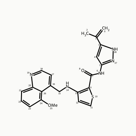 C=C(C)c1cc(NC(=O)c2sccc2NCc2ccnc3cccc(OC)c23)n[nH]1